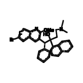 COc1nc2ccc(Br)cc2cc1C(c1ccccc1)C(O)(CCN(C)C)c1cccc2ccccc12